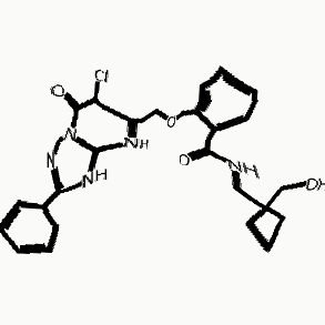 O=C(NCC1(CO)CCC1)c1ccccc1OCC1NC2NC(C3C=CC=CC3)=NN2C(=O)C1Cl